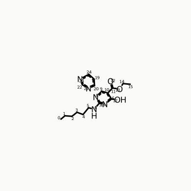 CCCCCCNc1ncc(C(=O)OCC)c(O)n1.c1cncnc1